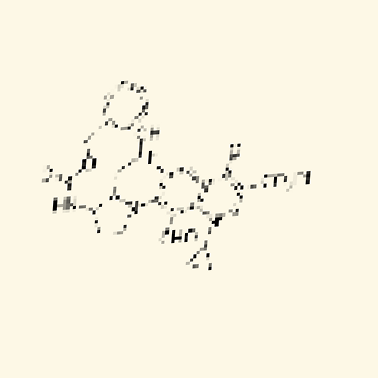 CCOC(=O)c1cn(C2CC2)c2c(C=O)c(N3CCC(NC(=O)OCc4ccccc4)C3CCO)c(F)cc2c1=O